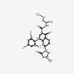 CC(COC(F)(F)F)NC(=O)c1cn(-c2c(F)cc(F)cc2F)c2nc(N3C[C@@H](O)CC3=O)ccc2c1=O